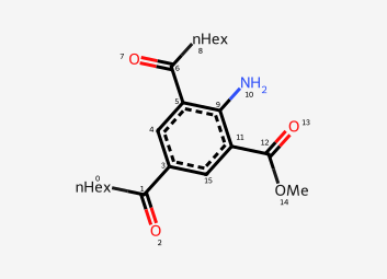 CCCCCCC(=O)c1cc(C(=O)CCCCCC)c(N)c(C(=O)OC)c1